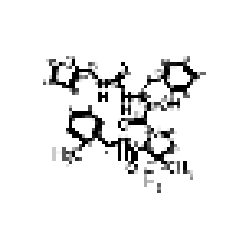 Cc1ccccc1CNC(=O)[C@H]1N(C(=O)[C@@H](O)[C@H](Cc2ccccc2)NC(=S)NCc2ccco2)CSC1(C)C